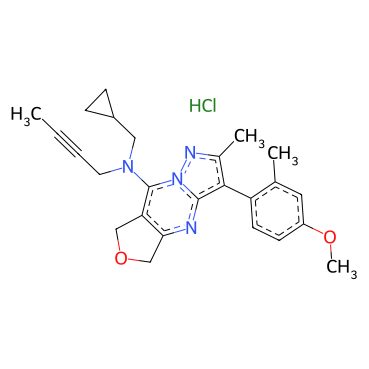 CC#CCN(CC1CC1)c1c2c(nc3c(-c4ccc(OC)cc4C)c(C)nn13)COC2.Cl